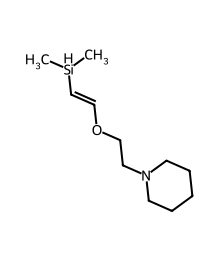 C[SiH](C)C=COCCN1CCCCC1